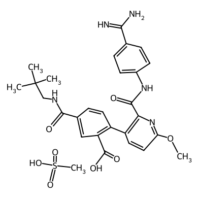 COc1ccc(-c2ccc(C(=O)NCC(C)(C)C)cc2C(=O)O)c(C(=O)Nc2ccc(C(=N)N)cc2)n1.CS(=O)(=O)O